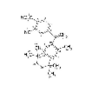 C=C(c1ccc(C(=O)O)c(C#N)c1)c1cc2c(cc1C)C(C)(C)CCC2(C)C